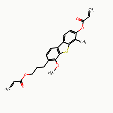 C=CC(=O)OCCCc1ccc2c(sc3c(C)c(OC(=O)C=C)ccc32)c1OC